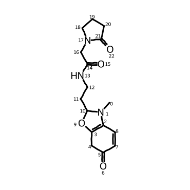 CN1C2=C(CC(=O)C=C2)OC1CCNC(=O)CN1CCCC1=O